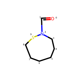 O=[C]N1CCCCCCS1